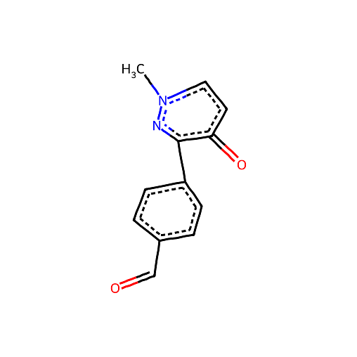 Cn1ccc(=O)c(-c2ccc(C=O)cc2)n1